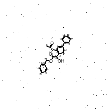 CC(=O)Sc1cc(-c2ccccc2)ccc1C(O)C(=O)OCc1ccccc1